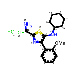 COc1ccccc1-c1nc(CN)sc1NC1CCCCC1.Cl.Cl